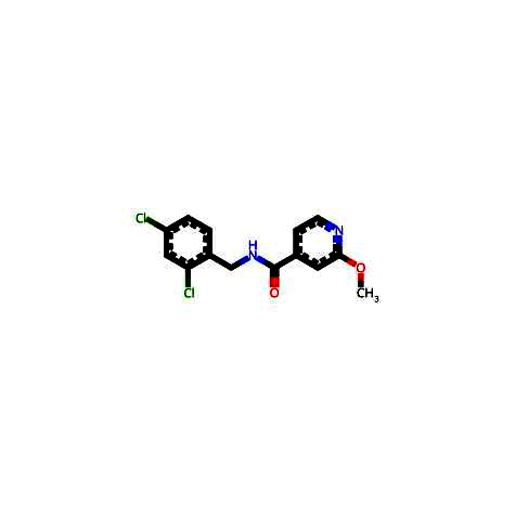 COc1cc(C(=O)NCc2ccc(Cl)cc2Cl)ccn1